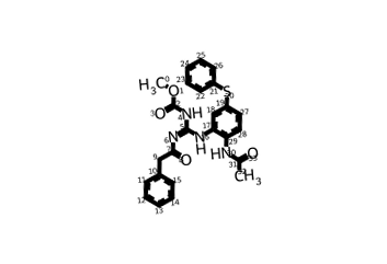 COC(=O)N/C(=N/C(=O)Cc1ccccc1)Nc1cc(Sc2ccccc2)ccc1NC(C)=O